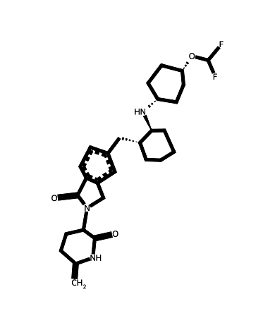 C=C1CCC(N2Cc3cc(C[C@H]4CCCC[C@@H]4N[C@H]4CC[C@@H](OC(F)F)CC4)ccc3C2=O)C(=O)N1